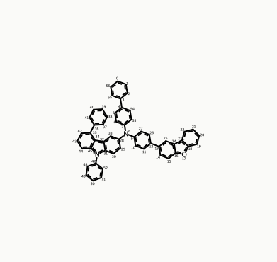 c1ccc(-c2ccc(N(c3ccc(-c4ccc5oc6ccccc6c5c4)cc3)c3ccc4c(c3)c3c(-c5ccccc5)cccc3n4-c3ccccc3)cc2)cc1